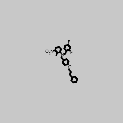 Cc1c(N(Cc2ccc(OCC=Cc3ccccc3)cc2)Cc2ccc(F)cc2F)cccc1[N+](=O)[O-]